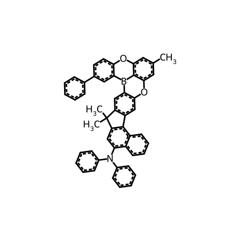 Cc1cc2c3c(c1)Oc1cc4c(cc1B3c1cc(-c3ccccc3)ccc1O2)C(C)(C)c1cc(N(c2ccccc2)c2ccccc2)c2ccccc2c1-4